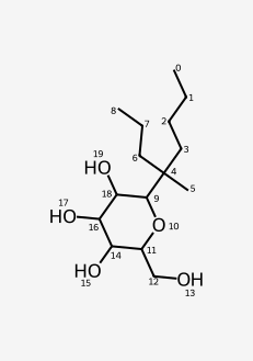 CCCCC(C)(CCC)C1OC(CO)C(O)C(O)C1O